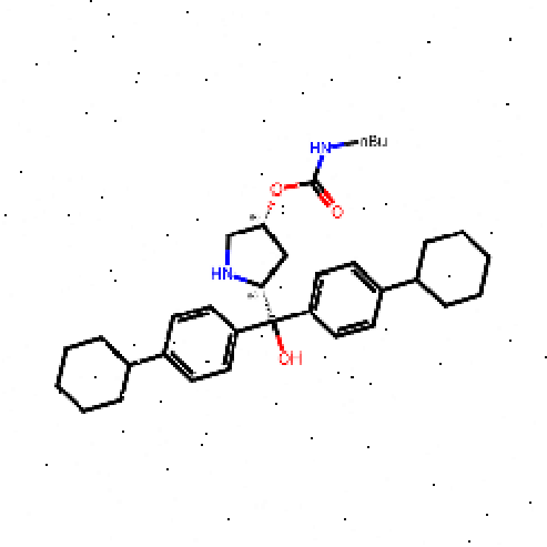 CCCCNC(=O)O[C@H]1CN[C@@H](C(O)(c2ccc(C3CCCCC3)cc2)c2ccc(C3CCCCC3)cc2)C1